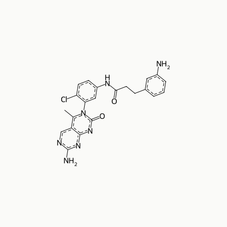 Cc1c2cnc(N)nc2nc(=O)n1-c1cc(NC(=O)CCc2cccc(N)c2)ccc1Cl